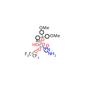 COc1ccc(C(OC(C(C)=O)[C@H]2O[C@@H](n3ccc(N)nc3=O)[C@H](OCOCC(C(F)(F)F)C(F)(F)F)[C@@H]2O)(c2ccccc2)c2ccc(OC)cc2)cc1